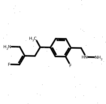 CC(C/C(=C/F)CN)c1ccc(CNN)c(F)c1